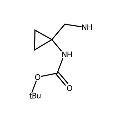 CC(C)(C)OC(=O)NC1(C[NH])CC1